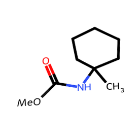 [CH2]OC(=O)NC1(C)CCCCC1